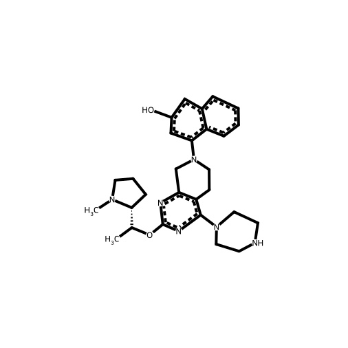 CC(Oc1nc2c(c(N3CCNCC3)n1)CCN(c1cc(O)cc3ccccc13)C2)[C@H]1CCCN1C